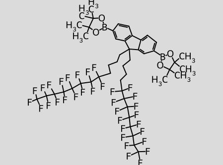 CC1(C)OB(c2ccc3c(c2)C(CCCCC(F)(F)C(F)(F)C(F)(F)C(F)(F)C(F)(F)C(F)(F)C(F)(F)C(F)(F)F)(CCCCC(F)(F)C(F)(F)C(F)(F)C(F)(F)C(F)(F)C(F)(F)C(F)(F)C(F)(F)F)c2cc(B4OC(C)(C)C(C)(C)O4)ccc2-3)OC1(C)C